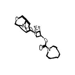 CCOC(=O)N1C2COCC1CC(N1CC(OC(=O)N3CCCCCC3)C1)C2